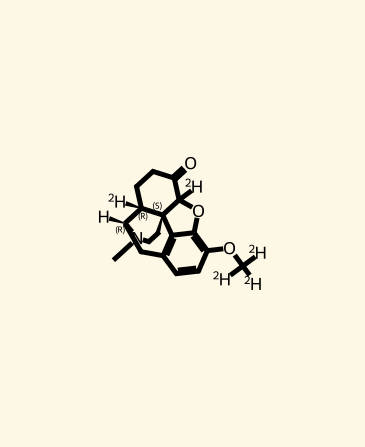 [2H]C([2H])([2H])Oc1ccc2c3c1OC1([2H])C(=O)CC[C@@]4([2H])[C@@H](C2)N(C)CC[C@]314